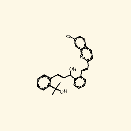 CC(C)(O)c1ccccc1CCC(O)c1ccccc1C=Cc1ccc2ccc(Cl)cc2n1